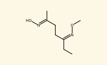 CCC(CCC(C)=NO)=NOC